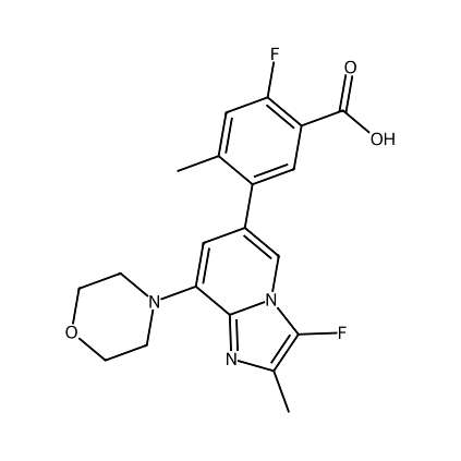 Cc1cc(F)c(C(=O)O)cc1-c1cc(N2CCOCC2)c2nc(C)c(F)n2c1